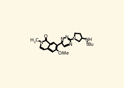 COc1cc2ccn(C)c(=O)c2cc1-c1cnc(N2CCC(NC(C)(C)C)C2)nn1